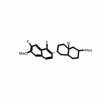 CCCCCCC1CCC2C[C@H](c3ccc4cc(OC)c(F)cc4c3F)CC[C@@H]2C1